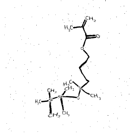 C=C(C)C(=O)OCCC[Si](C)(C)O[Si](C)(C)[Si](C)(C)C